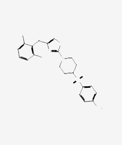 Cc1cccc(C)c1Cc1csc(N2CCC(S(=O)(=O)c3ccc(C(C)(C)C)cc3)CC2)n1